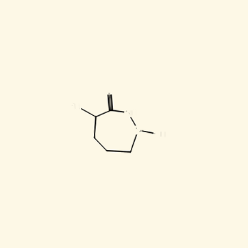 [2H]C1CCCN(C)NC1=O